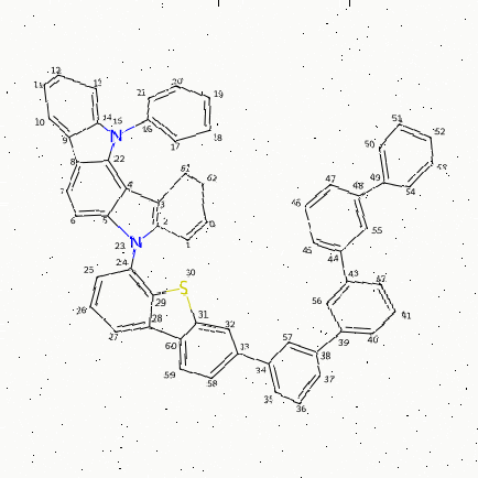 C1=Cc2c(c3c(ccc4c5ccccc5n(-c5ccccc5)c43)n2-c2cccc3c2sc2cc(-c4cccc(-c5cccc(-c6cccc(-c7ccccc7)c6)c5)c4)ccc23)CC1